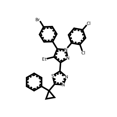 CCc1c(-c2nnc(C3(c4ccccc4)CC3)s2)nn(-c2ccc(Cl)cc2Cl)c1-c1ccc(Br)cc1